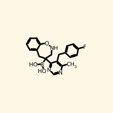 Cc1ncnc(C2(B(O)O)CNOc3ccccc3C2)c1Cc1ccc(F)cc1